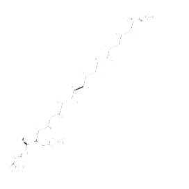 O=C(OCO)C(CO)CCCCCCC=CCCCCCCCCCO